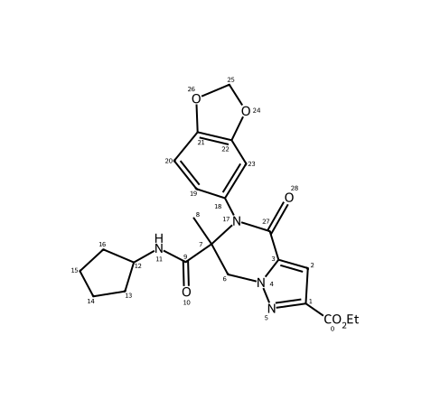 CCOC(=O)c1cc2n(n1)CC(C)(C(=O)NC1CCCC1)N(c1ccc3c(c1)OCO3)C2=O